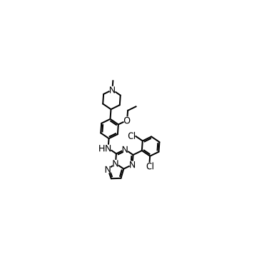 CCOc1cc(Nc2nc(-c3c(Cl)cccc3Cl)nc3ccnn23)ccc1C1CCN(C)CC1